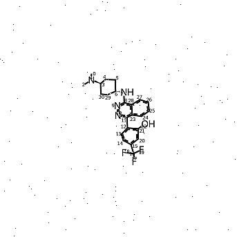 CN(C)[C@H]1CC[C@H](Nc2nnc(-c3ccc(C(F)(F)F)cc3O)c3ccccc23)CC1